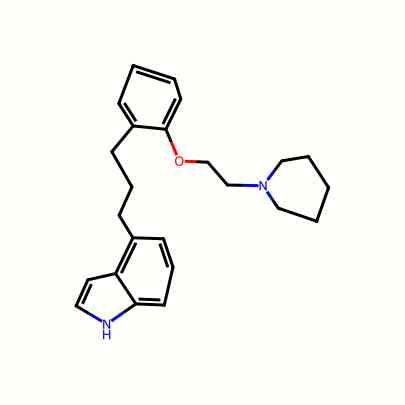 c1ccc(OCCN2CCCCC2)c(CCCc2cccc3[nH]ccc23)c1